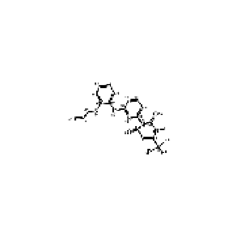 Cn1c(C(F)(F)F)cc(=O)n(-c2cccc(Oc3ccccc3SCC=O)n2)c1=O